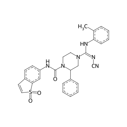 Cc1ccccc1N/C(=N/C#N)N1CCN(C(=O)Nc2ccc3c(c2)S(=O)(=O)C=C3)C(c2ccccc2)C1